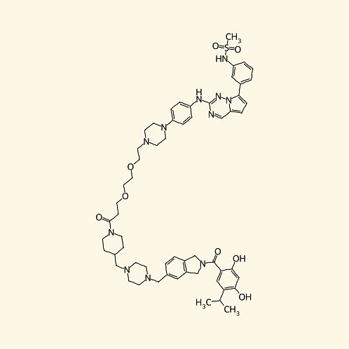 CC(C)c1cc(C(=O)N2Cc3ccc(CN4CCN(CC5CCN(C(=O)CCOCCOCCN6CCN(c7ccc(Nc8ncc9ccc(-c%10cccc(NS(C)(=O)=O)c%10)n9n8)cc7)CC6)CC5)CC4)cc3C2)c(O)cc1O